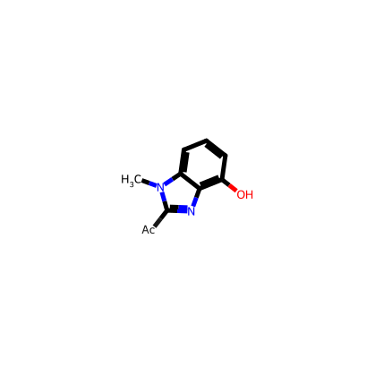 CC(=O)c1nc2c(O)cccc2n1C